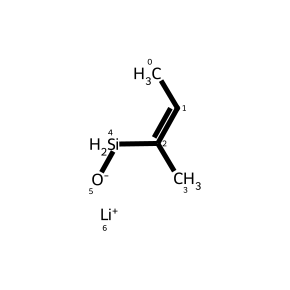 CC=C(C)[SiH2][O-].[Li+]